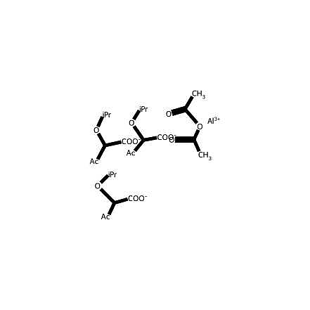 CC(=O)C(OC(C)C)C(=O)[O-].CC(=O)C(OC(C)C)C(=O)[O-].CC(=O)C(OC(C)C)C(=O)[O-].CC(=O)OC(C)=O.[Al+3]